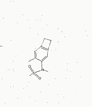 Cc1cc2c(cc1N(C)S(C)(=O)=O)CC2